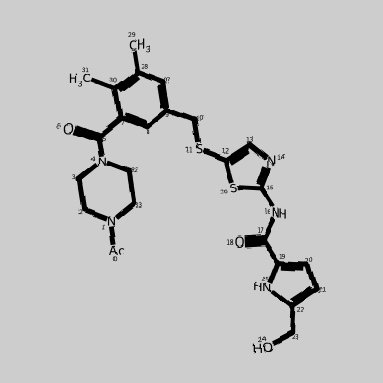 CC(=O)N1CCN(C(=O)c2cc(CSc3cnc(NC(=O)c4ccc(CO)[nH]4)s3)cc(C)c2C)CC1